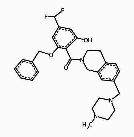 CN1CCN(Cc2ccc3c(c2)CN(C(=O)c2c(O)cc(C(F)F)cc2OCc2ccccc2)CC3)CC1